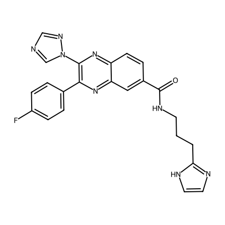 O=C(NCCCc1ncc[nH]1)c1ccc2nc(-n3cncn3)c(-c3ccc(F)cc3)nc2c1